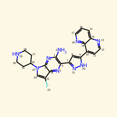 Nc1nc2c(nc1-c1cc(-c3ccnc4cccnc34)[nH]n1)c(F)cn2C1CCNCC1